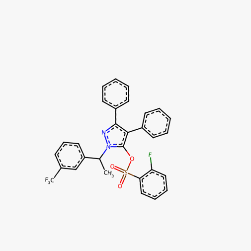 CC(c1cccc(C(F)(F)F)c1)n1nc(-c2ccccc2)c(-c2ccccc2)c1OS(=O)(=O)c1ccccc1F